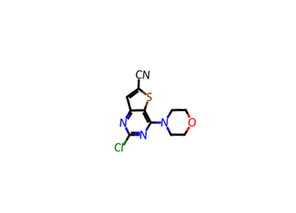 N#Cc1cc2nc(Cl)nc(N3CCOCC3)c2s1